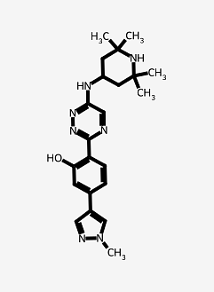 Cn1cc(-c2ccc(-c3ncc(NC4CC(C)(C)NC(C)(C)C4)nn3)c(O)c2)cn1